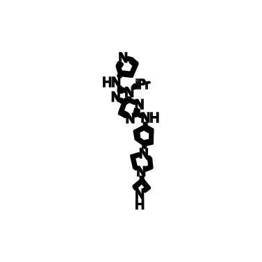 CC(C)n1c(Nc2cccnc2)nc2cnc(Nc3ccc(N4CCN(C5CNC5)CC4)cc3)nc21